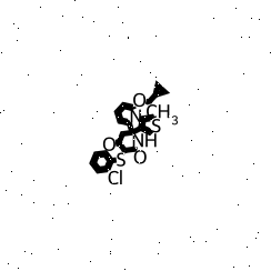 CC(Oc1cccc(C2(c3ccsc3)CC(=O)C(Sc3ccccc3Cl)C(=O)N2)n1)C1CC1